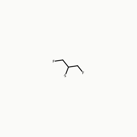 FCC([S])CF